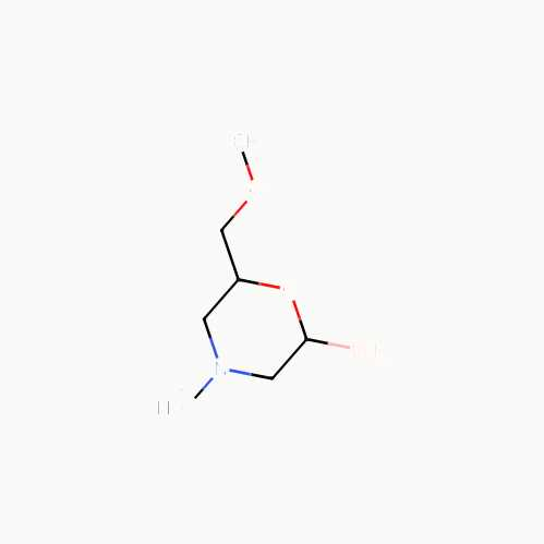 BC1CN(C)CC(COC)O1